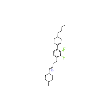 CCCCC1CC=C(c2ccc(CC/C=C/C3CCC(C)CC3)c(F)c2F)CC1